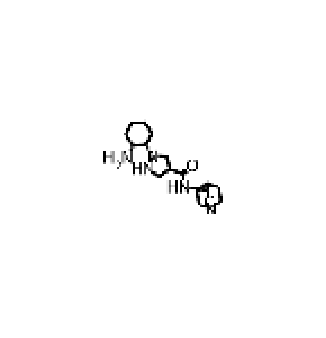 N[C@H]1CCCC[C@H]1N1CC(C(=O)NC2CN3CCC2CC3)CN1